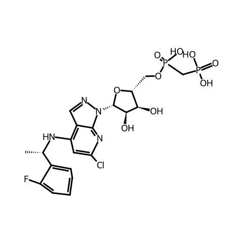 C[C@H](Nc1cc(Cl)nc2c1cnn2[C@@H]1O[C@H](COP(=O)(O)CP(=O)(O)O)[C@@H](O)[C@H]1O)c1ccccc1F